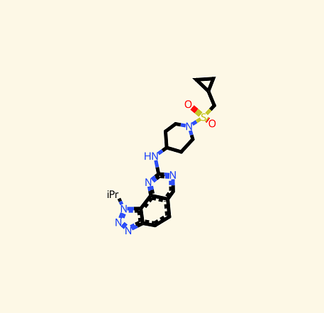 CC(C)n1nnc2ccc3cnc(NC4CCN(S(=O)(=O)CC5CC5)CC4)nc3c21